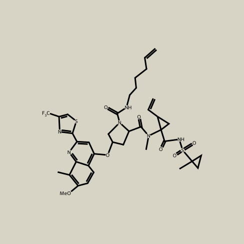 C=CCCCCNC(=O)N1CC(Oc2cc(-c3nc(C(F)(F)F)cs3)nc3c(C)c(OC)ccc23)CC1C(=O)N(C)C1(C(=O)NS(=O)(=O)C2(C)CC2)CC1C=C